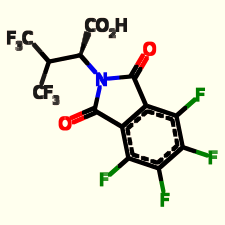 O=C(O)[C@H](C(C(F)(F)F)C(F)(F)F)N1C(=O)c2c(F)c(F)c(F)c(F)c2C1=O